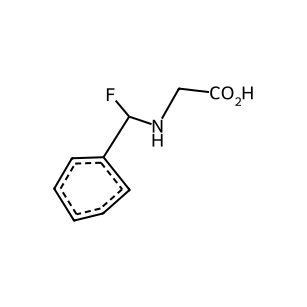 O=C(O)CNC(F)c1ccccc1